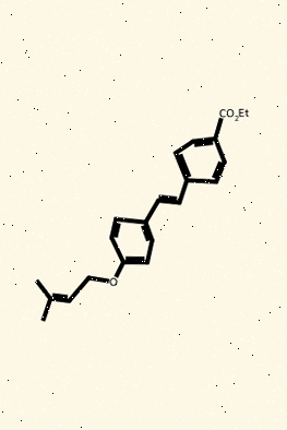 CCOC(=O)c1ccc(/C=C/c2ccc(OCC=C(C)C)cc2)cc1